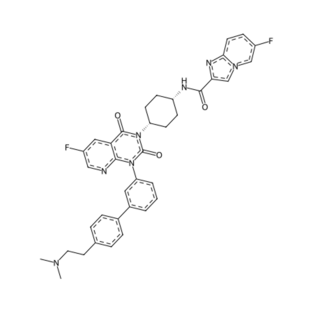 CN(C)CCc1ccc(-c2cccc(-n3c(=O)n([C@H]4CC[C@@H](NC(=O)c5cn6cc(F)ccc6n5)CC4)c(=O)c4cc(F)cnc43)c2)cc1